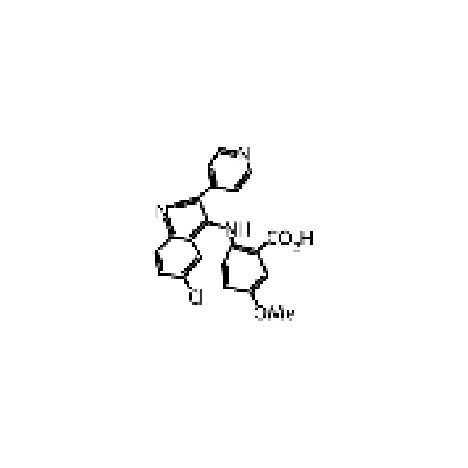 COc1ccc(Nc2c(-c3ccncc3)cnc3ccc(Cl)cc23)c(C(=O)O)c1